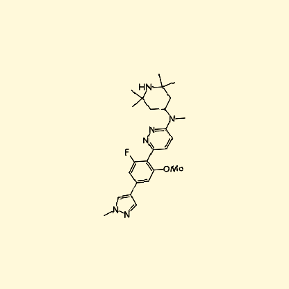 COc1cc(-c2cnn(C)c2)cc(F)c1-c1ccc(N(C)C2CC(C)(C)NC(C)(C)C2)nn1